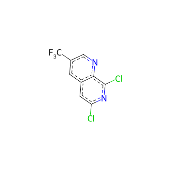 FC(F)(F)c1cnc2c(Cl)nc(Cl)cc2c1